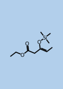 CC=C(CC(=O)OCC)O[Si](C)(C)C